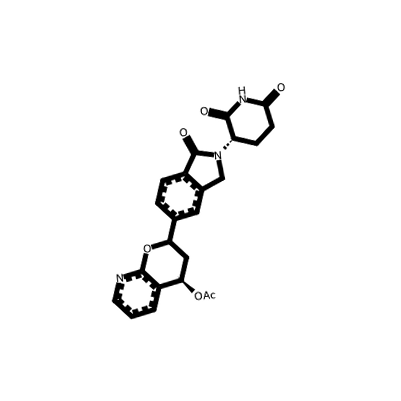 CC(=O)O[C@@H]1CC(c2ccc3c(c2)CN([C@H]2CCC(=O)NC2=O)C3=O)Oc2ncccc21